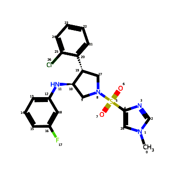 Cn1cnc(S(=O)(=O)N2C[C@@H](Nc3cccc(F)c3)[C@H](c3ccccc3Cl)C2)c1